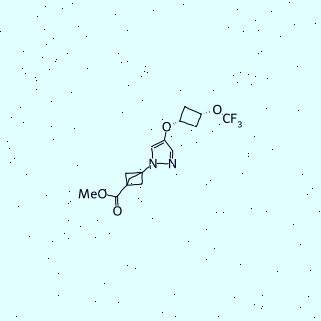 COC(=O)C12CC(n3cc(O[C@H]4C[C@@H](OC(F)(F)F)C4)cn3)(C1)C2